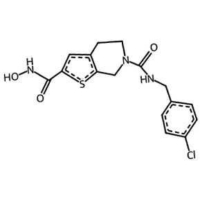 O=C(NO)c1cc2c(s1)CN(C(=O)NCc1ccc(Cl)cc1)CC2